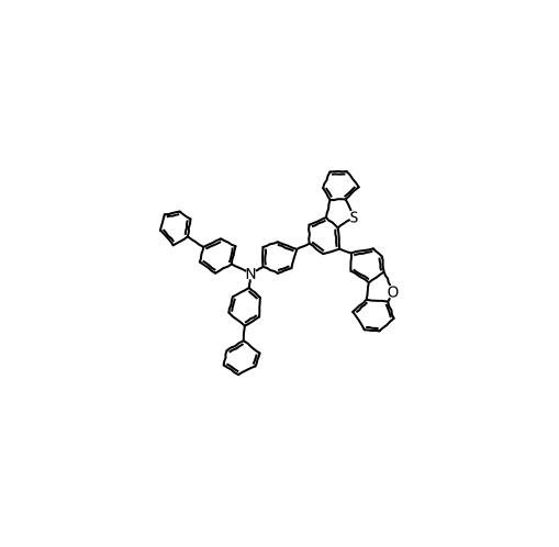 c1ccc(-c2ccc(N(c3ccc(-c4ccccc4)cc3)c3ccc(-c4cc(-c5ccc6oc7ccccc7c6c5)c5sc6ccccc6c5c4)cc3)cc2)cc1